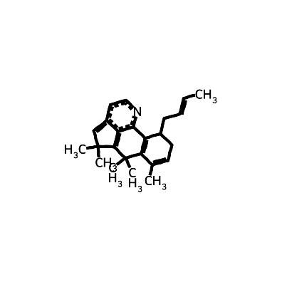 CC=CCC1CC=C(C)C2=C1c1nccc3c1=C(C(C)(C)C=3)C2(C)C